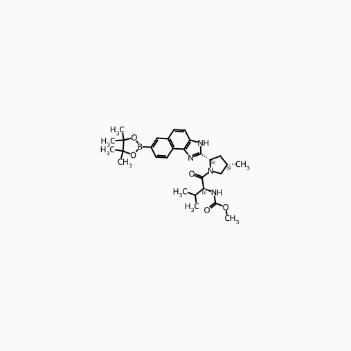 COC(=O)N[C@H](C(=O)N1C[C@@H](C)C[C@H]1c1nc2c(ccc3cc(B4OC(C)(C)C(C)(C)O4)ccc32)[nH]1)C(C)C